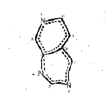 c1cc2cncnc2cn1